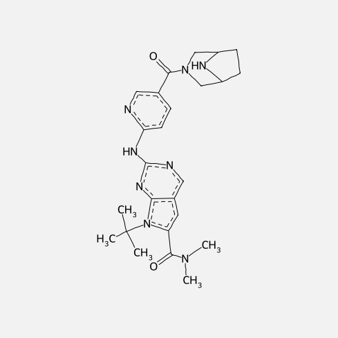 CN(C)C(=O)c1cc2cnc(Nc3ccc(C(=O)N4CC5CCC(C4)N5)cn3)nc2n1C(C)(C)C